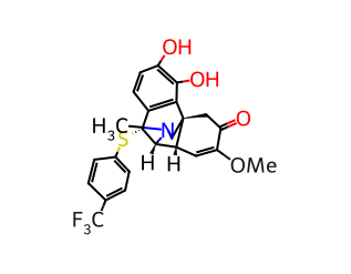 COC1=C[C@@H]2[C@@H]3[C@H](Sc4ccc(C(F)(F)F)cc4)c4ccc(O)c(O)c4[C@@]2(CC1=O)CN3C